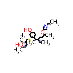 C=C(O)/C=C\[C@@H](CC)CS[C@H]1CC(O)=CCC1C(=C)/C(=C/C)CCC(=C)OC1CN(CCC)C1